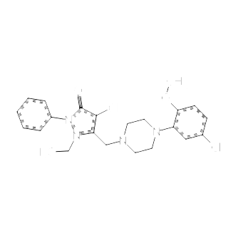 CCn1c(CN2CCN(c3cc(Cl)ccc3OC)CC2)c(Cl)c(=O)n1-c1ccccc1